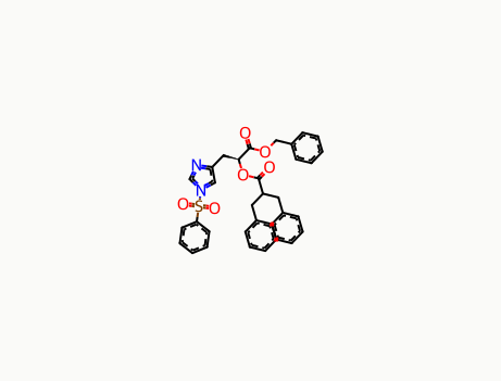 O=C(O[C@@H](Cc1cn(S(=O)(=O)c2ccccc2)cn1)C(=O)OCc1ccccc1)C(Cc1ccccc1)Cc1ccccc1